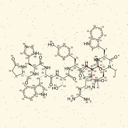 CCN(C(=O)[C@H](Cc1c[nH]c2ccccc12)NC(=O)[C@H](CCCN=C(N)N)NC(=O)[C@H](Cc1ccc(O)cc1)NC(=O)[C@H](CO)NC(=O)[C@H](Cc1c[nH]c2ccccc12)NC(=O)[C@H](Cc1cnc[nH]1)NC(=O)[C@@H]1CCC(=O)N1)[C@@H](CC(C)C)C(=O)N1CCC[C@H]1C(N)=O